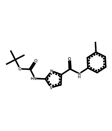 Cc1cccc(NC(=O)c2csc(NC(=O)OC(C)(C)C)n2)c1